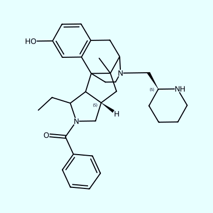 CCC1C2[C@@H](CN1C(=O)c1ccccc1)CC1(C)C3Cc4ccc(O)cc4C21CCN3C[C@@H]1CCCCN1